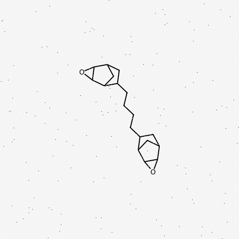 C(CCC1CC2CC1C1OC21)CC1CC2CC1C1OC21